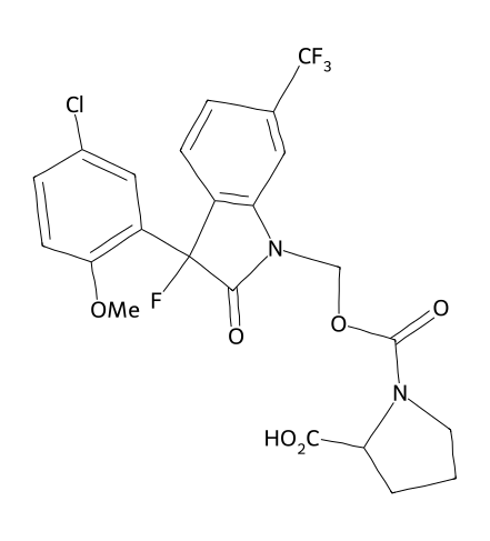 COc1ccc(Cl)cc1C1(F)C(=O)N(COC(=O)N2CCCC2C(=O)O)c2cc(C(F)(F)F)ccc21